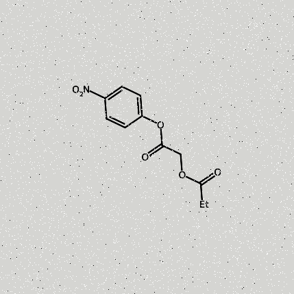 CCC(=O)OCC(=O)Oc1ccc([N+](=O)[O-])cc1